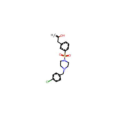 C=C(O)Cc1cccc(S(=O)(=O)N2CCN(Cc3ccc(Cl)cc3)CC2)c1